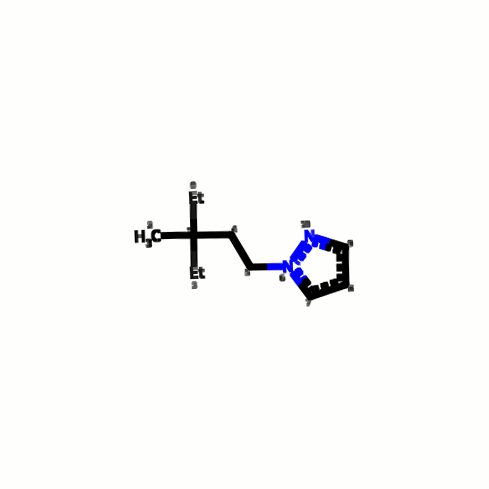 CCC(C)(CC)CCn1cccn1